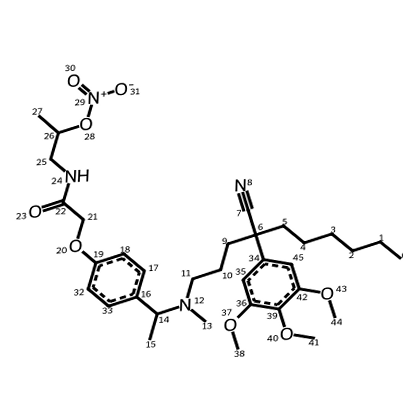 CCCCCCC(C#N)(CCCN(C)C(C)c1ccc(OCC(=O)NCC(C)O[N+](=O)[O-])cc1)c1cc(OC)c(OC)c(OC)c1